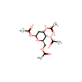 CC(=O)OC[C@H]1O[C@@H](OC(C)=O)C[C@@H](OC(C)=O)[C@@H]1OC(C)=O